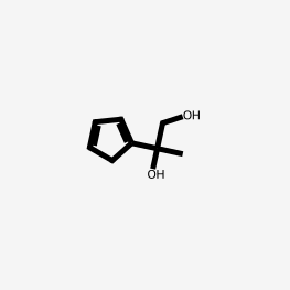 CC(O)(CO)C1=CC=CC1